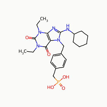 CCn1c(=O)c2c(nc(NC3CCCCC3)n2Cc2ccc(CP(=O)(O)O)cc2)n(CC)c1=O